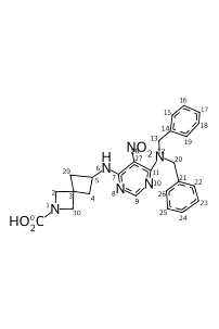 O=C(O)N1CC2(CC(Nc3ncnc(N(Cc4ccccc4)Cc4ccccc4)c3[N+](=O)[O-])C2)C1